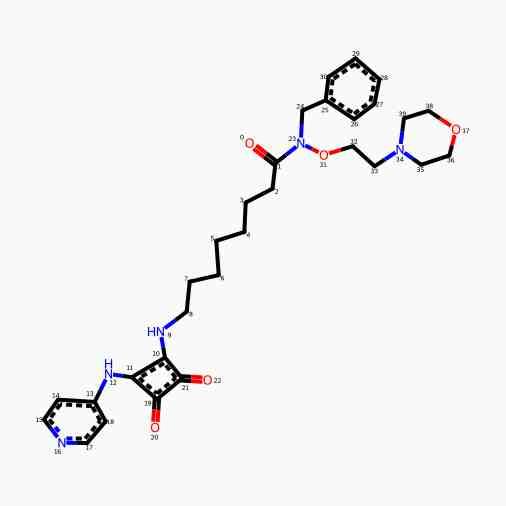 O=C(CCCCCCCNc1c(Nc2ccncc2)c(=O)c1=O)N(Cc1ccccc1)OCCN1CCOCC1